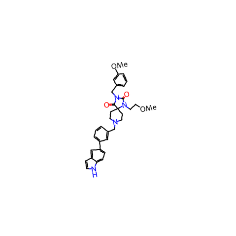 COCCN1C(=O)N(Cc2cccc(OC)c2)C(=O)C12CCN(Cc1cccc(-c3ccc4[nH]ccc4c3)c1)CC2